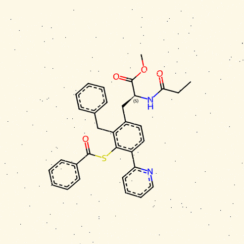 CCC(=O)N[C@@H](Cc1ccc(-c2ccccn2)c(SC(=O)c2ccccc2)c1Cc1ccccc1)C(=O)OC